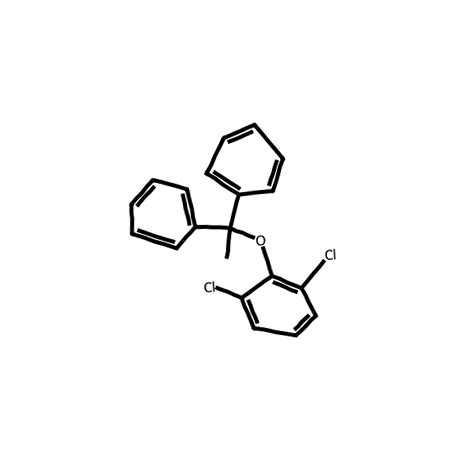 CC(Oc1c(Cl)cccc1Cl)(c1ccccc1)c1ccccc1